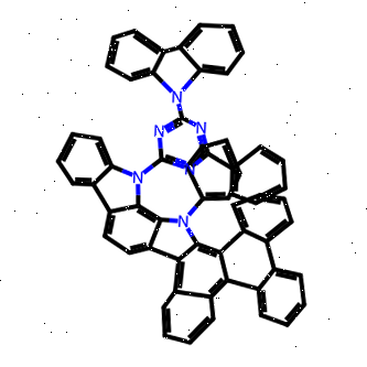 c1ccc(-c2nc(-n3c4ccccc4c4ccccc43)nc(-n3c4ccccc4c4ccc5c6c7ccccc7c7c8ccccc8c8ccccc8c7c6n(-c6ccccc6)c5c43)n2)cc1